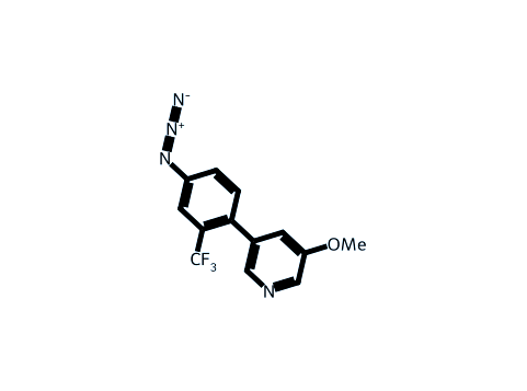 COc1cncc(-c2ccc(N=[N+]=[N-])cc2C(F)(F)F)c1